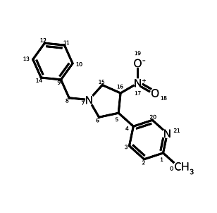 Cc1ccc(C2CN(Cc3ccccc3)CC2[N+](=O)[O-])cn1